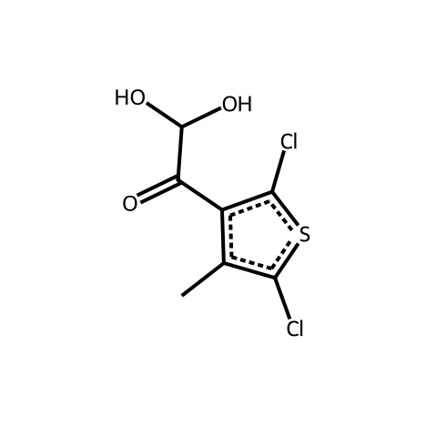 Cc1c(Cl)sc(Cl)c1C(=O)C(O)O